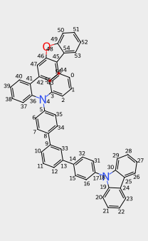 c1ccc(N(c2ccc(-c3cccc(-c4ccc(-n5c6ccccc6c6ccccc65)cc4)c3)cc2)c2ccccc2-c2ccc3c(c2)oc2ccccc23)cc1